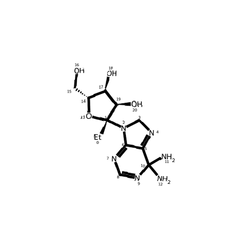 CC[C@@]1(N2CN=C3C2=NC=NC3(N)N)O[C@H](CO)[C@@H](O)[C@H]1O